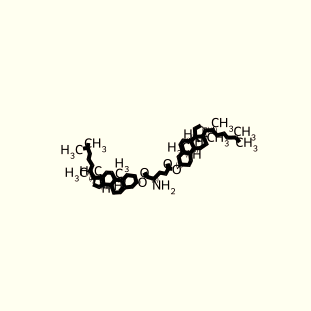 CC(C)CCC[C@@H](C)[C@H]1CC[C@H]2[C@@H]3CC=C4C[C@@H](OC(=O)CC[C@H](N)C(=O)O[C@H]5CC[C@@]6(C)C(=CC[C@H]7[C@@H]8CC[C@H]([C@H](C)CCCC(C)C)[C@@]8(C)CC[C@@H]76)C5)CC[C@]4(C)[C@H]3CC[C@]12C